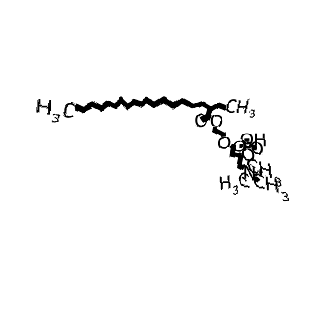 CCCCCCCCCCCCCCCCCCC(CCC)C(=O)OCCOCCC(C[N+](C)(C)C)OP(=O)([O-])O